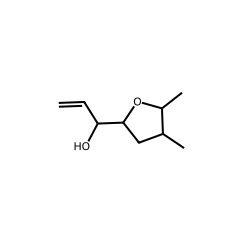 C=CC(O)C1CC(C)C(C)O1